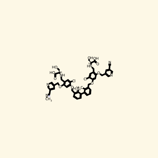 C/N=C/c1cncc(COc2cc(OCc3cccc(-c4cccc(COc5cc(OCc6cncc(C#N)c6)c(CN[C@@H](CO)C(=O)O)cc5Cl)c4C)c3C)c(Cl)cc2CN[C@H](CO)C(=O)O)c1